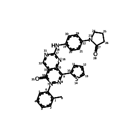 Cc1ccccc1-n1nc(-c2cccs2)c2nc(Nc3ccc(N4CCCC4=O)cc3)ncc2c1=O